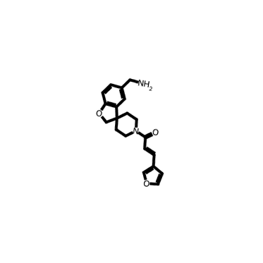 NCc1ccc2c(c1)C1(CCN(C(=O)C=Cc3ccoc3)CC1)CO2